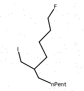 CCCCCCC(CI)CCCCF